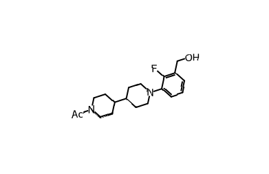 CC(=O)N1CCC(C2CCN(c3cccc(CO)c3F)CC2)CC1